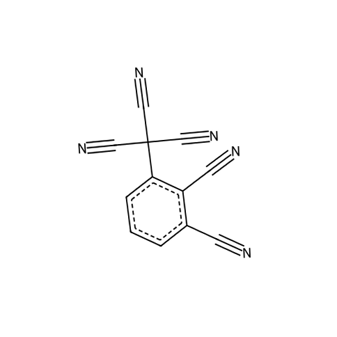 N#Cc1cccc(C(C#N)(C#N)C#N)c1C#N